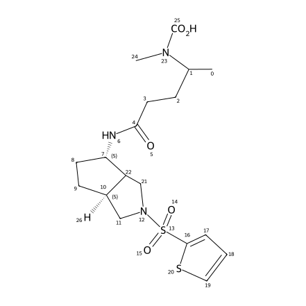 CC(CCC(=O)N[C@H]1CC[C@@H]2CN(S(=O)(=O)c3cccs3)CC21)N(C)C(=O)O